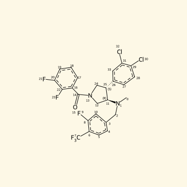 CN(Cc1ccc(C(F)(F)F)c(F)c1)[C@H]1CN(C(=O)c2cccc(F)c2F)C[C@@H]1c1ccc(Cl)c(Cl)c1